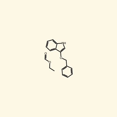 CCOC=O.c1ccc(COc2c[nH]c3ccccc23)cc1